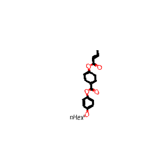 C/C=C/C(=O)OC1CCC(C(=O)Oc2ccc(OCCCCCC)cc2)CC1